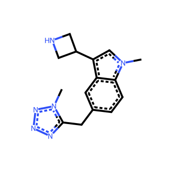 Cn1nnnc1Cc1ccc2c(c1)c(C1CNC1)cn2C